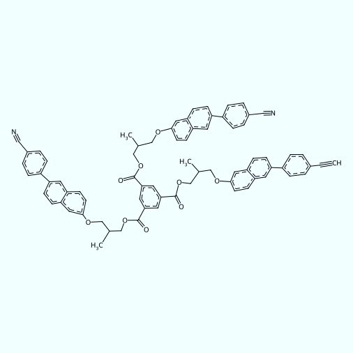 C#Cc1ccc(-c2ccc3cc(OCC(C)COC(=O)c4cc(C(=O)OCC(C)COc5ccc6cc(-c7ccc(C#N)cc7)ccc6c5)cc(C(=O)OCC(C)COc5ccc6cc(-c7ccc(C#N)cc7)ccc6c5)c4)ccc3c2)cc1